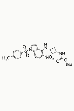 Cc1ccc(S(=O)(=O)n2ccc3c(N[C@H]4C[C@@H](NC(=O)OC(C)(C)C)C4)c([N+](=O)[O-])cnc32)cc1